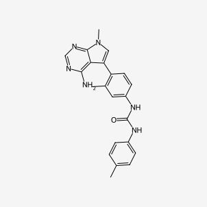 Cc1ccc(NC(=O)Nc2ccc(-c3cn(C)c4ncnc(N)c34)c(C)c2)cc1